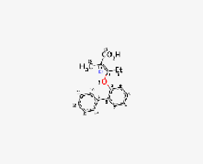 CC/C(Oc1ccccc1-c1ccccc1)=C(/C)C(=O)O